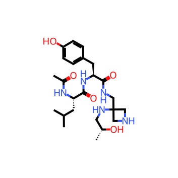 CC(=O)N[C@@H](CC(C)C)C(=O)N[C@@H](Cc1ccc(O)cc1)C(=O)NCC1(NC[C@@H](C)O)CNC1